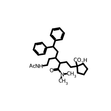 CC(=O)NCCC(CC(c1ccccc1)c1ccccc1)C(CCC1(C(=O)O)CCCC1)C(=O)N(C)C